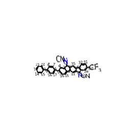 [C-]#[N+]/N=c1\c2cc(-c3ccc(-c4ccccc4)cc3)ccc2c2cc3/c(=N/C#N)c4cc(C(F)(F)F)ccc4c3cc12